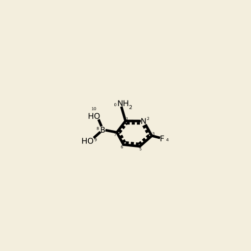 Nc1nc(F)ccc1B(O)O